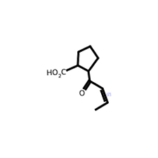 C/C=C\C(=O)C1CCCC1C(=O)O